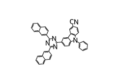 N#Cc1ccc2c(c1)c1cc(-c3nc(-c4ccc5ccccc5c4)nc(-c4ccc5ccccc5c4)n3)ccc1n2-c1ccccc1